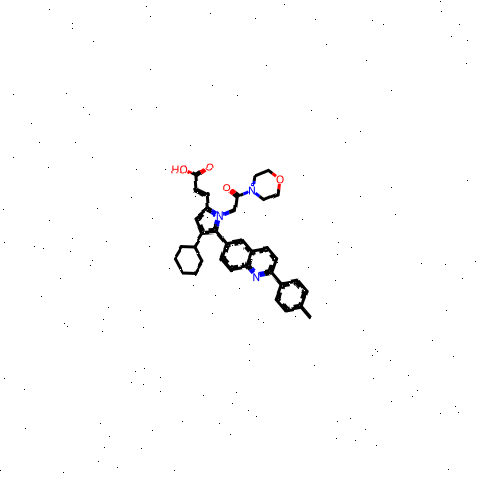 Cc1ccc(-c2ccc3cc(-c4c(C5CCCCC5)cc(C=CC(=O)O)n4CC(=O)N4CCOCC4)ccc3n2)cc1